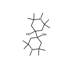 CN1C(C)(C)CC(O)(C2(O)CC(C)(C)N(C)C(C)(C)C2)CC1(C)C